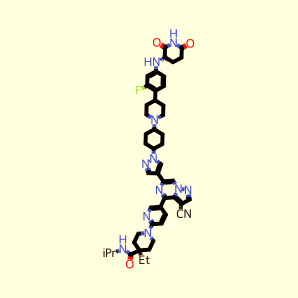 CCC1(C(=O)NC(C)C)CCN(c2ccc(-c3nc(-c4cnn(C5CCC(N6CCC(c7ccc(N[C@@H]8CCC(=O)NC8=O)cc7F)CC6)CC5)c4)cn4ncc(C#N)c34)cn2)CC1